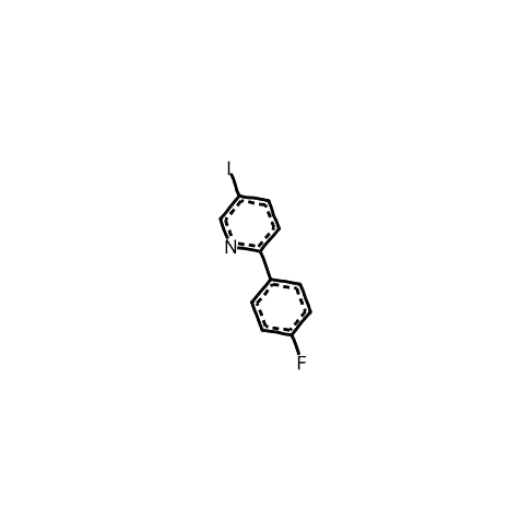 Fc1ccc(-c2ccc(I)cn2)cc1